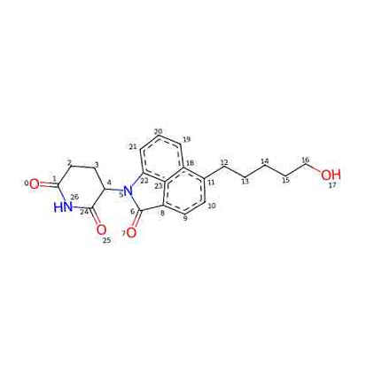 O=C1CCC(N2C(=O)c3ccc(CCCCCO)c4cccc2c34)C(=O)N1